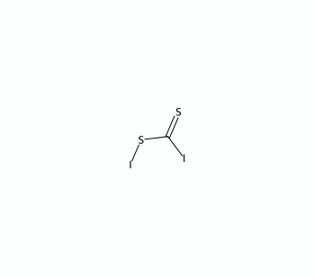 S=C(I)SI